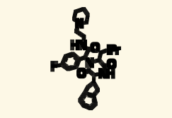 CC(C)CC1C(=O)NC(C2Cc3ccccc3C2)C(=O)N1C(C(=O)NCCN1CCCCC1)c1ccc(F)cc1